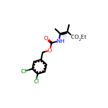 CCOC(=O)/C(C)=C(/C)NC(=O)OCc1ccc(Cl)c(Cl)c1